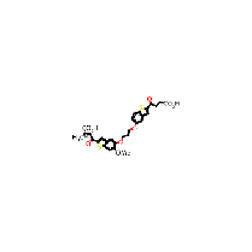 COc1cc2sc(C(=O)C[C@H](C)C(=O)O)cc2cc1OCCCOc1ccc2sc(C(=O)CCC(=O)O)cc2c1